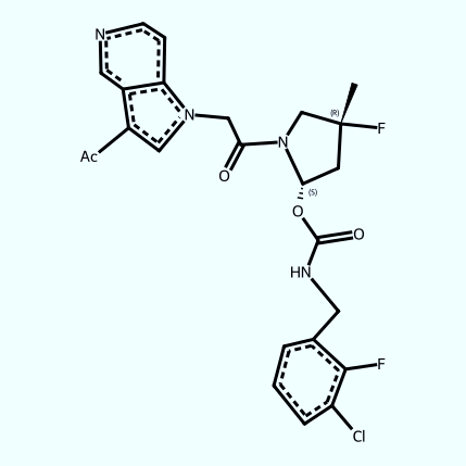 CC(=O)c1cn(CC(=O)N2C[C@](C)(F)C[C@@H]2OC(=O)NCc2cccc(Cl)c2F)c2ccncc12